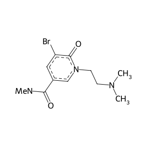 CNC(=O)c1cc(Br)c(=O)n(CCN(C)C)c1